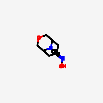 CN1C2COCC1CC(=NO)C2